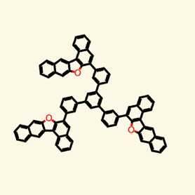 c1cc(-c2cc(-c3cccc(-c4cc5ccccc5c5c4oc4cc6ccccc6cc45)c3)cc(-c3cccc(-c4cc5ccccc5c5c4oc4cc6ccccc6cc45)c3)c2)cc(-c2cc3ccccc3c3c2oc2cc4ccccc4cc23)c1